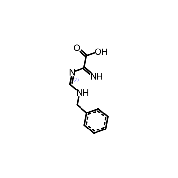 N=C(/N=C\NCc1ccccc1)C(=O)O